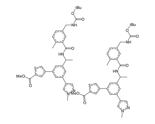 COC(=O)c1cc(-c2cc(-c3cnn(C)c3)cc(C(C)NC(=O)c3cc(CNC(=O)OC(C)(C)C)ccc3C)c2)cs1.COC(=O)c1cc(-c2cc(-c3cnn(C)c3)cc(C(C)NC(=O)c3cc(CNC(=O)OC(C)(C)C)ccc3C)c2)cs1